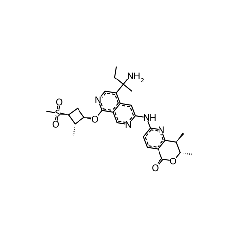 CCC(C)(N)c1cnc(O[C@@H]2C[C@H](S(C)(=O)=O)[C@H]2C)c2cnc(Nc3ccc4c(n3)[C@@H](C)[C@H](C)OC4=O)cc12